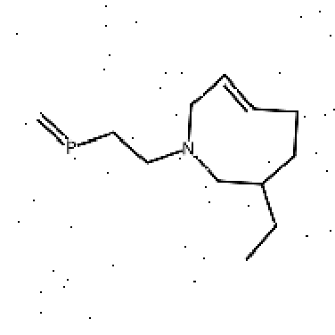 C=PCCN1C/C=C/CCC(CC)C1